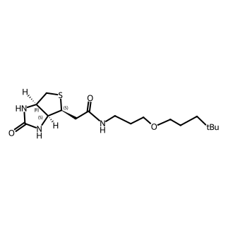 CC(C)(C)CCCOCCCNC(=O)C[C@@H]1SC[C@@H]2NC(=O)N[C@@H]21